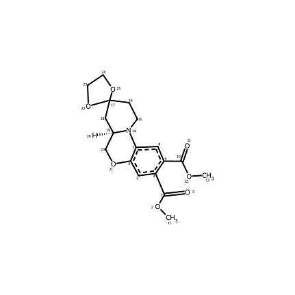 COC(=O)c1cc2c(cc1C(=O)OC)N1CCC3(C[C@@H]1CO2)OCCO3